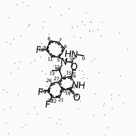 CNC(=O)N(c1cccc(F)c1)[C@H](C)c1c(F)[nH]c(=O)c2cc(F)c(F)cc12